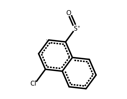 O=[S+]c1[c]cc(Cl)c2ccccc12